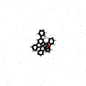 c1ccc2c(c1)-c1ccccc1C21c2ccccc2-c2cc3c(oc4ccccc43)c(-n3c4ccccc4c4ccccc43)c21